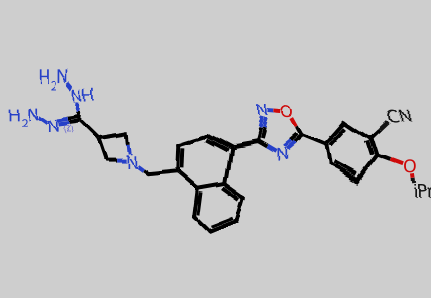 CC(C)Oc1ccc(-c2nc(-c3ccc(CN4CC(/C(=N/N)NN)C4)c4ccccc34)no2)cc1C#N